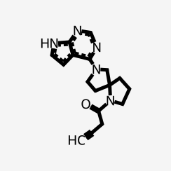 C#CCC(=O)N1CCCC12CCN(c1ncnc3[nH]ccc13)C2